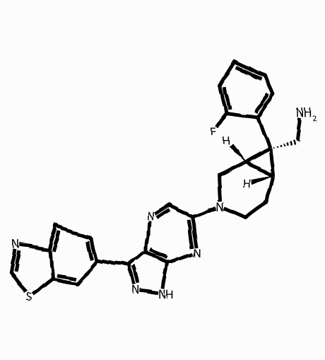 NC[C@]1(c2ccccc2F)[C@@H]2CCN(c3cnc4c(-c5ccc6ncsc6c5)n[nH]c4n3)C[C@@H]21